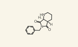 O=C1[C@H]2CCCN[C@@H]2C(=O)N1Cc1ccccc1